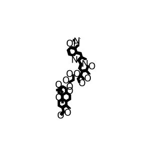 CCC1(OC(=O)CC(=O)OC2C3(C(C)C)OC3C3OC34C3(C)CCC5=C(COC5=O)C3CC3OC324)C(=O)OCc2c1cc1n(c2=O)Cc2cc3c(CN(C)C)c(O)ccc3nc2-1